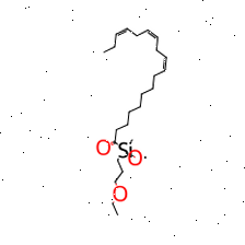 CC/C=C\C/C=C\C/C=C\CCCCCCCC(=O)[Si](C)([O])CCCOCC